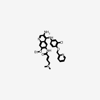 CCOc1cc2ncc(N)c(Nc3ccc(OCc4ccccn4)c(Cl)c3)c2cc1NC(=O)/C=C/CN(C)C